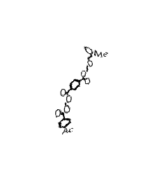 COCCOCCOC(=O)c1ccc(C(=O)OCOC(=O)c2ccc(C(C)=O)cc2)cc1